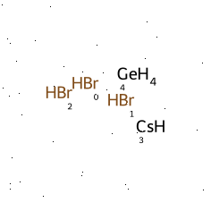 Br.Br.Br.[CsH].[GeH4]